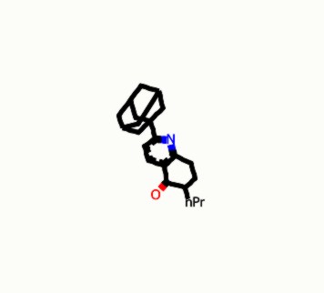 CCCC1CCc2nc(C34CC5CC(CC(C5)C3)C4)ccc2C1=O